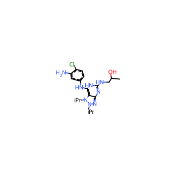 CC(O)CNC1=NC2=NN(C(C)C)N(C(C)C)C2=C(Nc2ccc(Cl)c(N)c2)N1